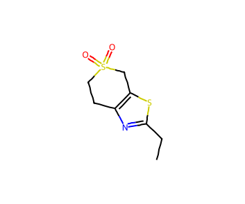 CCc1nc2c(s1)CS(=O)(=O)CC2